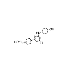 OCCN1CCN(c2cc(Cl)nc(NC3CCC(O)CC3)n2)CC1